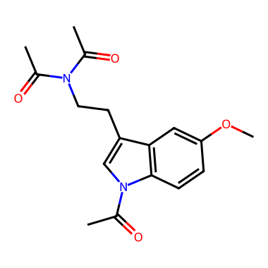 COc1ccc2c(c1)c(CCN(C(C)=O)C(C)=O)cn2C(C)=O